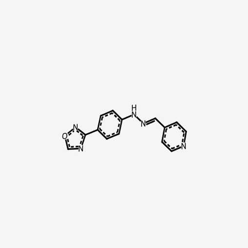 C(=NNc1ccc(-c2ncon2)cc1)c1ccncc1